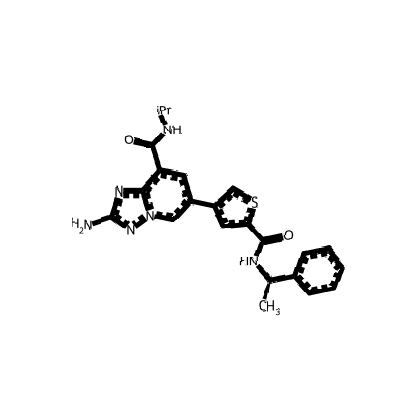 CC(C)NC(=O)c1cc(-c2csc(C(=O)N[C@H](C)c3ccccc3)c2)cn2nc(N)nc12